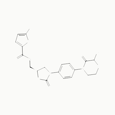 O=C(NC[C@H]1CN(c2ccc(N3CCOC(O)C3=O)cc2)C(=O)O1)c1ccc(Cl)s1